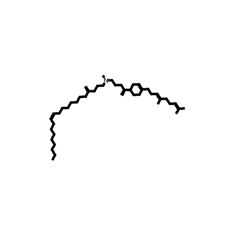 C=C(CCCCCCC/C=C\CCCCCCCC)CCCN(C)CCCC(=C)C1CC=C(CC/C=C(\C)CCC=C(C)C)CC1